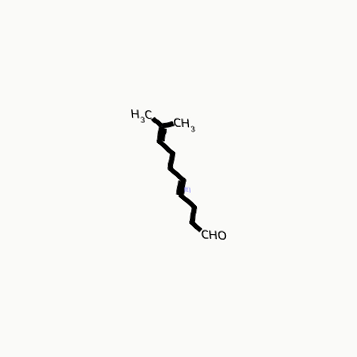 CC(C)=CCC/C=C/CCC=O